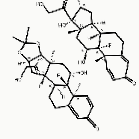 CC1(C)O[C@@H]2C[C@H]3[C@@H]4CCC5=CC(=O)C=C[C@]5(C)[C@@]4(F)[C@@H](O)C[C@]3(C)[C@]2(C(=O)CO)O1.C[C@]12C=CC(=O)C=C1CC[C@H]1[C@@H]3C[C@@H](O)[C@](O)(C(=O)CO)[C@@]3(C)C[C@H](O)[C@@]12F